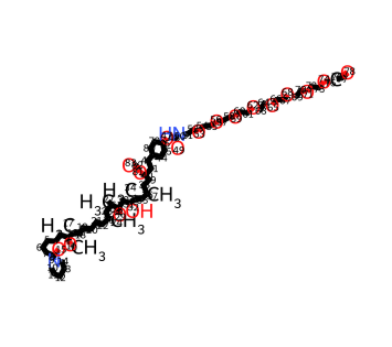 COC(CC1CCCC(N2CCCCC2)O1)/C(C)=C/C=C/C=C/C(C)CC(C)C(=O)CC(O)/C(C)=C/C(C)CCC(CCC1CCC(OC(=O)NCCOCCOCCOCCOCCOCCOCCOCCOCCC=O)CC1)OC=O